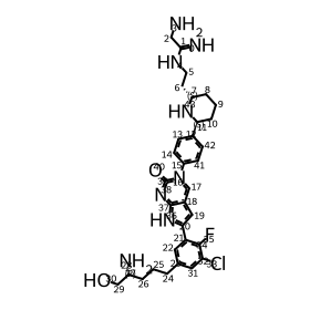 N=C(CN)NCC[C@@H]1CCC[C@@H](c2ccc(-n3cc4cc(-c5cc(CCC[C@@H](N)CO)cc(Cl)c5F)[nH]c4nc3=O)cc2)N1